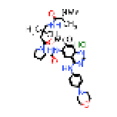 CN[C@@H](C)C(=O)NCC(C)(C)CC(=O)N1CCC[C@H]1C(=O)Nc1cc2c(Nc3ccc(N4CCOCC4)cc3)ncnc2cc1OC.Cl